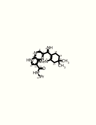 CNC1=C(C(=N)c2cnc3[nH]cc(C(=O)NC(C)C)c3n2)CCC(C)(C)C1